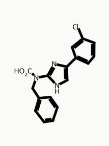 O=C(O)N(Cc1ccccc1)c1nc(-c2cccc(Cl)c2)c[nH]1